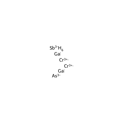 [As-3].[Cr+3].[Cr+3].[Ga].[Ga].[SbH6-3]